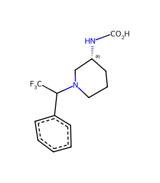 O=C(O)N[C@@H]1CCCN(C(c2ccccc2)C(F)(F)F)C1